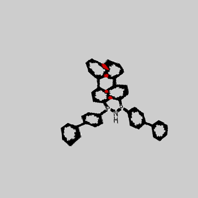 c1ccc(-c2ccc(P(NP(c3ccc(-c4ccccc4)cc3)c3ccc(-c4ccccc4)cc3)c3ccc(-c4ccccc4)cc3)cc2)cc1